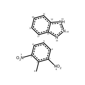 Cc1c([N+](=O)[O-])cccc1[N+](=O)[O-].c1ccc2[nH]nnc2c1